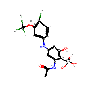 CC(=O)Nc1cc(Nc2ccc(F)c(OC(F)(F)F)c2)cc(O)c1[As](=O)(O)O